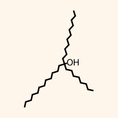 CCCCCCCCCCCCC(O)(CCCCCCCC)CCCCCCCCCCC